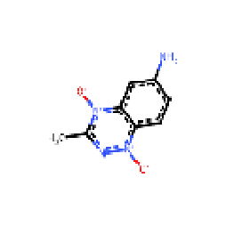 Cc1n[n+]([O-])c2ccc(N)cc2[n+]1[O-]